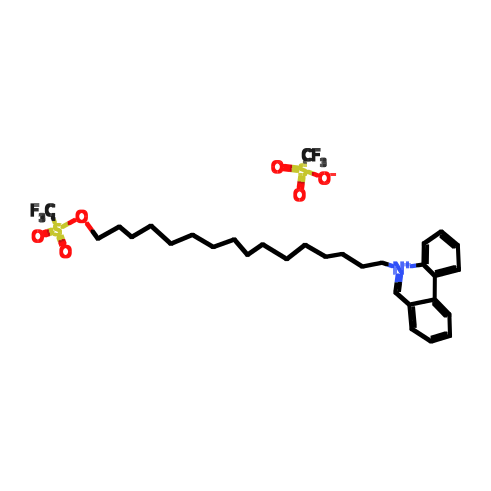 O=S(=O)(OCCCCCCCCCCCCCCCC[n+]1cc2ccccc2c2ccccc21)C(F)(F)F.O=S(=O)([O-])C(F)(F)F